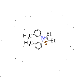 CCC1=C(CC)N(c2cccc(C)c2)CS1.Cc1ccccc1